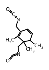 CC1=C(CN=C=O)C=CC(C)C1(C)CN=C=O